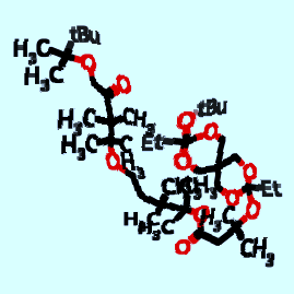 CCC1(OC(C)(C)C)OCC2(CO1)COC(CC)(OC(C)(C)CC(=O)OC(C)(C)C(C)(C)CCOC(C)(C)C(C)(C)C(=O)COC(C)(C)C(C)(C)C)OC2